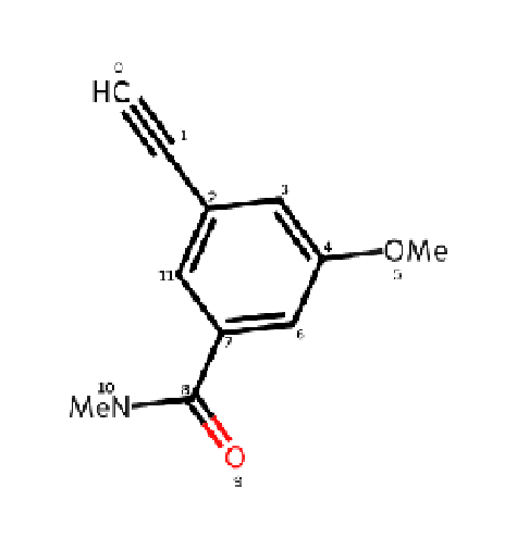 C#Cc1cc(OC)cc(C(=O)NC)c1